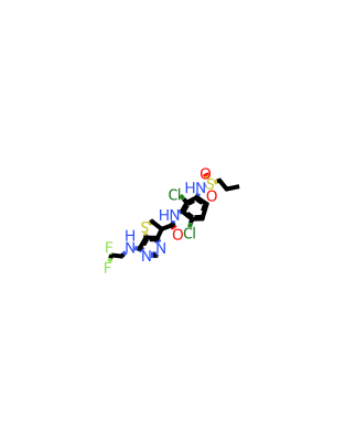 CCCS(=O)(=O)Nc1ccc(Cl)c(NC(=O)C2CSc3c(NCC(F)F)ncnc32)c1Cl